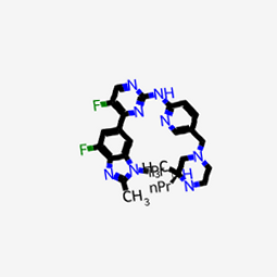 CCC[C@@]1(C)CN(Cc2ccc(Nc3ncc(F)c(-c4cc(F)c5nc(C)n(C(C)C)c5c4)n3)nc2)CCN1